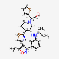 Cc1onc(-c2cccc(NC(C)C)c2)c1-c1csc(C2CCN(C(C=O)c3cccs3)CC2)n1